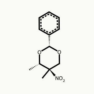 C[C@@H]1O[C@H](c2ccccc2)OC[C@@]1(C)[N+](=O)[O-]